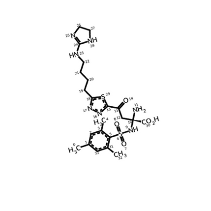 Cc1cc(C)c(S(=O)(=O)N[C@@](N)(CC(=O)c2nnc(CCCCNC3=NCCN3)s2)C(=O)O)c(C)c1